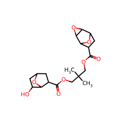 CC(C)(COC(=O)C1CC2CC(O)C1O2)COC(=O)C1CC2OC1C1OC21